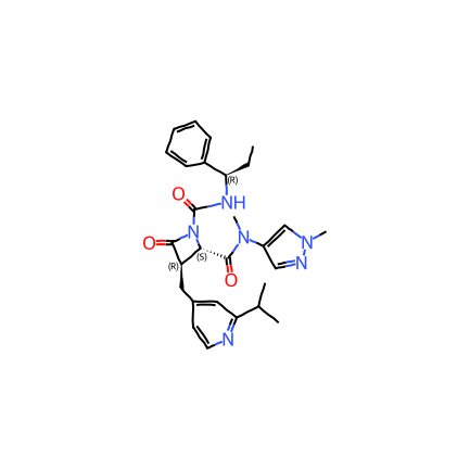 CC[C@@H](NC(=O)N1C(=O)[C@H](Cc2ccnc(C(C)C)c2)[C@H]1C(=O)N(C)c1cnn(C)c1)c1ccccc1